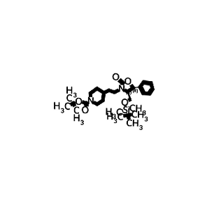 CC(C)(C)OC(=O)N1CCC(CCN2C(=O)O[C@H](c3ccccc3)[C@H]2CO[Si](C)(C)C(C)(C)C)CC1